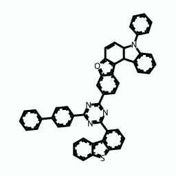 C1=CC2C(c3ccccc3N2c2ccccc2)c2c1oc1cc(-c3nc(-c4ccc(-c5ccccc5)cc4)nc(-c4cccc5sc6ccccc6c45)n3)ccc21